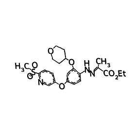 CCOC(=O)C(C)=NNc1ccc(Oc2ccc(S(C)(=O)=O)nc2)cc1OC1CCOCC1